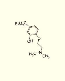 CCOC(=O)c1ccc(OCCN(C)C)c(O)c1